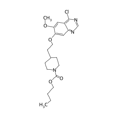 CCCCOC(=O)N1CCC(CCOc2cc3ncnc(Cl)c3cc2OC)CC1